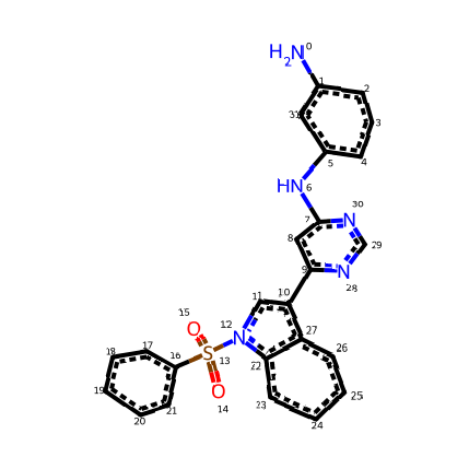 Nc1cccc(Nc2cc(-c3cn(S(=O)(=O)c4ccccc4)c4ccccc34)ncn2)c1